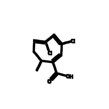 CC1C/C=C(Cl)/C=C(Cl)\C=C/1C(=O)O